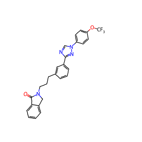 O=C1c2ccccc2CN1CCCc1cccc(-c2ncn(-c3ccc(OC(F)(F)F)cc3)n2)c1